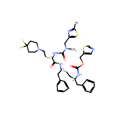 CC(C)c1nc(CN(C)C(=O)N[C@@H](CCN2CCC(F)(F)CC2)C(=O)N[C@H](CC[C@H](Cc2ccccc2)NC(=O)OCc2cncs2)Cc2ccccc2)cs1